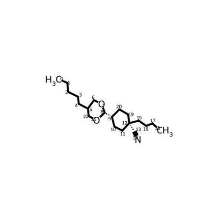 CCCCCC1COC([C@H]2CC[C@](C#N)(CCCC)CC2)OC1